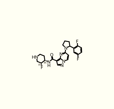 O=C(N[C@@H]1CCNC[C@@H]1F)c1cnn2ccc(N3CCCC3c3cc(F)ccc3F)nc12